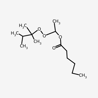 CCCCCC(=O)OC(C)OOC(C)(C)C(C)C